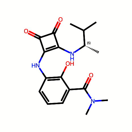 CC(C)[C@H](C)Nc1c(Nc2cccc(C(=O)N(C)C)c2O)c(=O)c1=O